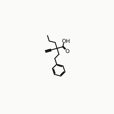 C#CC(CCC)(CCc1ccccc1)C(=O)O